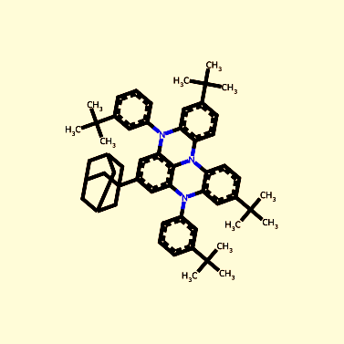 CC(C)(C)c1cccc(N2c3cc(C(C)(C)C)ccc3N3c4ccc(C(C)(C)C)cc4N(c4cccc(C(C)(C)C)c4)c4cc(C56CC7CC(CC(C7)C5)C6)cc2c43)c1